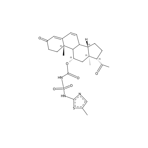 CC(=O)[C@H]1CC[C@H]2C3C=CC4=CC(=O)CC[C@@]4(C)C3[C@@H](OC(=O)NS(=O)(=O)Nc3ncc(C)s3)C[C@]12C